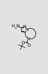 CC(C)(C)OC(=O)N1CCCCCn2nc(N)cc2C1